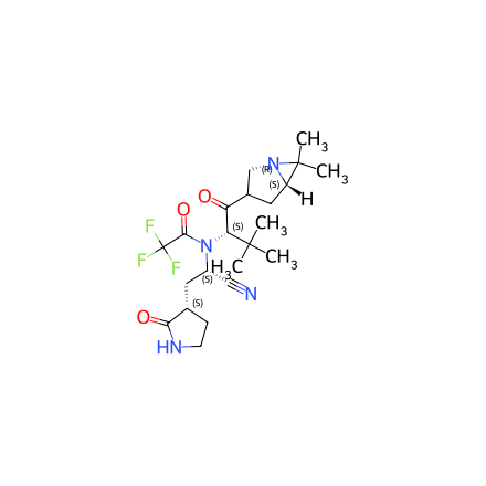 CC(C)(C)[C@@H](C(=O)C1C[C@@H]2[N@](C1)C2(C)C)N(C(=O)C(F)(F)F)[C@H](C#N)C[C@@H]1CCNC1=O